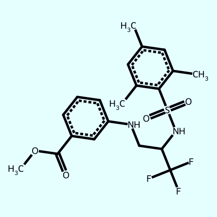 COC(=O)c1cccc(NCC(NS(=O)(=O)c2c(C)cc(C)cc2C)C(F)(F)F)c1